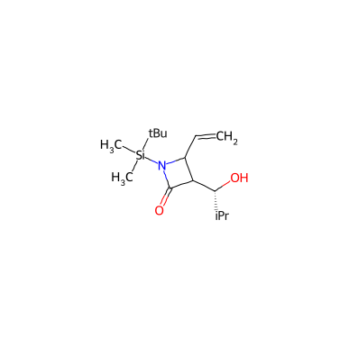 C=CC1C([C@H](O)C(C)C)C(=O)N1[Si](C)(C)C(C)(C)C